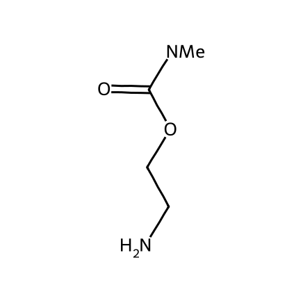 CNC(=O)OCCN